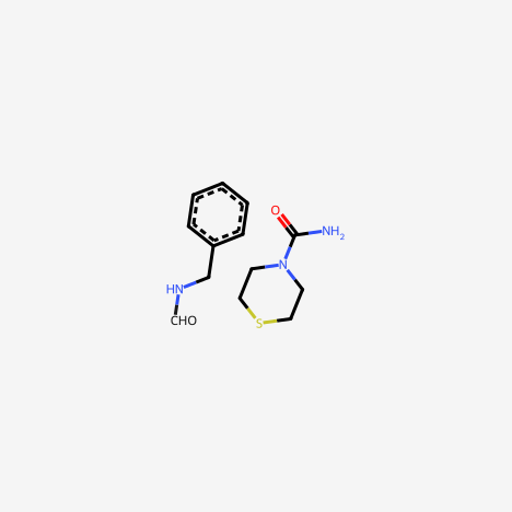 NC(=O)N1CCSCC1.O=CNCc1ccccc1